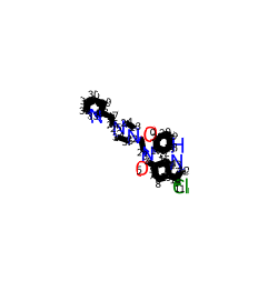 O=C(CN(C(=O)c1ccc2c(Cl)c[nH]c2c1)c1ccccc1)N1CCN(CCc2ccccn2)CC1